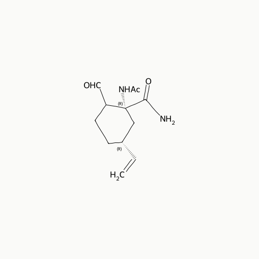 C=C[C@@H]1CCC(C=O)[C@@](NC(C)=O)(C(N)=O)C1